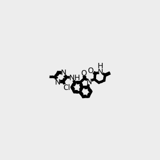 C=C1CCC(N2C(=O)c3c(Nc4ncc(C)nc4Cl)ccc4cccc2c34)C(=O)N1